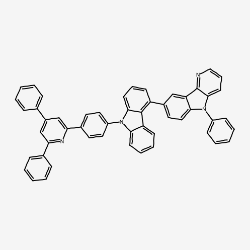 c1ccc(-c2cc(-c3ccccc3)nc(-c3ccc(-n4c5ccccc5c5c(-c6ccc7c(c6)c6ncccc6n7-c6ccccc6)cccc54)cc3)c2)cc1